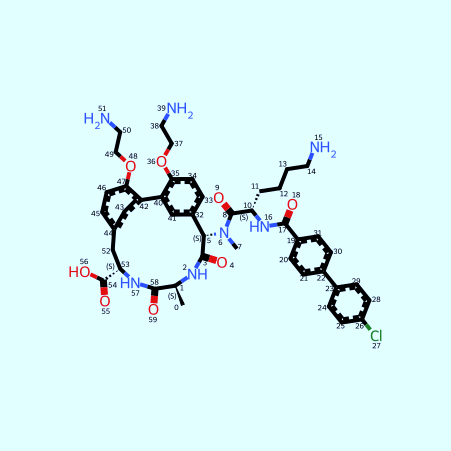 C[C@@H]1NC(=O)[C@@H](N(C)C(=O)[C@H](CCCCN)NC(=O)c2ccc(-c3ccc(Cl)cc3)cc2)c2ccc(OCCN)c(c2)-c2cc(ccc2OCCN)C[C@@H](C(=O)O)NC1=O